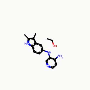 CCO.Cc1[nH]c2ccc(Nc3cnccc3N)cc2c1C